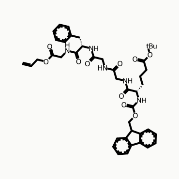 C=CCOC(=O)CNC(=O)[C@H](Cc1ccccc1)NC(=O)CNC(=O)CNC(=O)[C@H](CCCC(=O)OC(C)(C)C)NC(=O)OCC1c2ccccc2-c2ccccc21